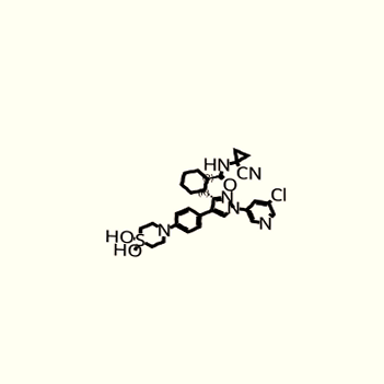 N#CC1(NC(=O)[C@@H]2CCCC[C@H]2c2nn(-c3cncc(Cl)c3)cc2-c2ccc(N3CCS(O)(O)CC3)cc2)CC1